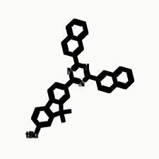 CC(C)(C)c1ccc2c(c1)C(C)(C)c1cc(-c3nc(-c4ccc5ccccc5c4)nc(-c4ccc5ccccc5c4)n3)ccc1-2